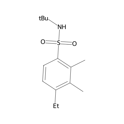 CCc1ccc(S(=O)(=O)NC(C)(C)C)c(C)c1C